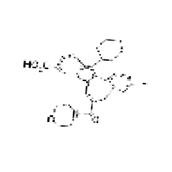 O=C(O)c1ccc2c(C3CCCCC3)c3n(c2c1)C=C(C(=O)N1CCOCC1)Cc1cc(F)ccc1-3